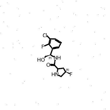 O=C(N[C@@H](CO)c1cccc(Cl)c1F)C1C[C@@H](F)CN1